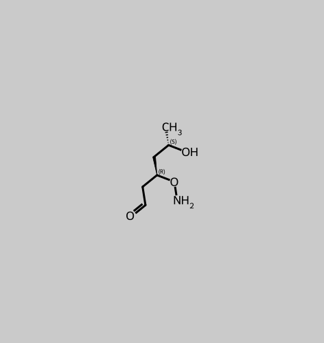 C[C@H](O)C[C@H](CC=O)ON